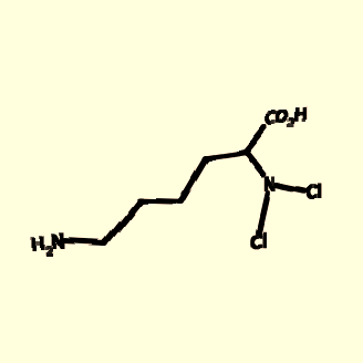 NCCCCC(C(=O)O)N(Cl)Cl